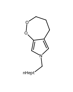 CCCCCCCCn1cc2c(c1)OOCCC2